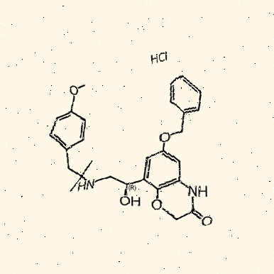 COc1ccc(CC(C)(C)NC[C@H](O)c2cc(OCc3ccccc3)cc3c2OCC(=O)N3)cc1.Cl